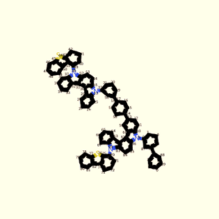 c1ccc(-c2cccc(-n3c4ccc(-c5ccc(-c6cccc(-n7c8ccccc8c8c9c%10ccccc%10n(-c%10cccc%11sc%12ccccc%12c%10%11)c9ccc87)c6)cc5)cc4c4c5c6ccccc6n(-c6cccc7c6sc6ccccc67)c5ccc43)c2)cc1